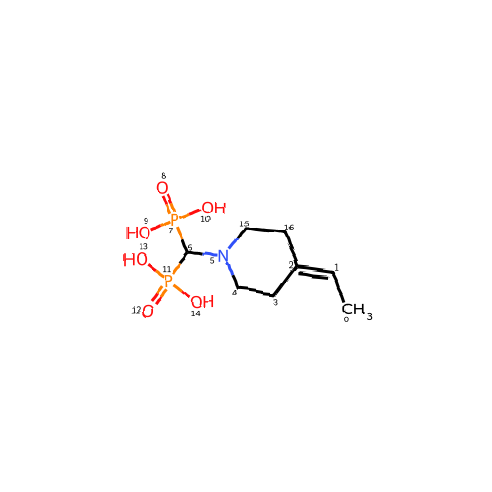 CC=C1CCN(C(P(=O)(O)O)P(=O)(O)O)CC1